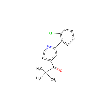 CC(C)(C)C(=O)c1ccnc(-c2ccccc2Cl)c1